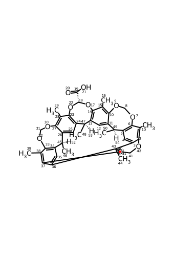 Cc1c2c3cc4c1OCOc1c(cc5c(c1C)O[C@@H](C(=O)O)Oc1c(cc6c(c1C)OCOc1c(cc(c(c1C)OCO2)[C@H]3C)[C@@H]6C)[C@@H]5C)[C@@H]4C